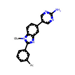 CC(=O)c1cccc(-c2nc3cc(-c4cnc(N)nc4)ccc3n2C(C)(C)C)c1